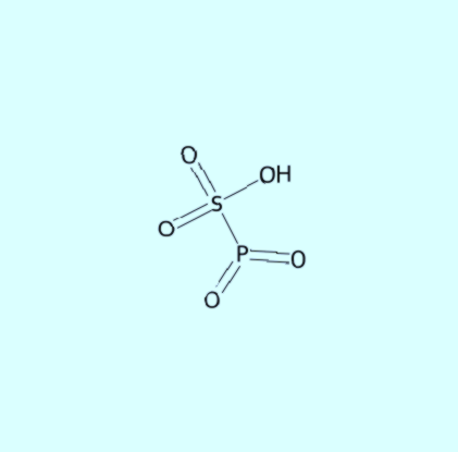 O=P(=O)S(=O)(=O)O